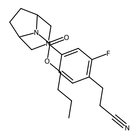 CCCCOC(=O)N1C2CCC1CN(c1ccc(CCC#N)c(F)c1)C2